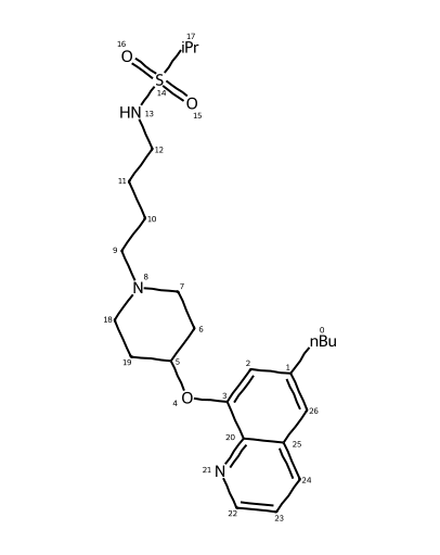 CCCCc1cc(OC2CCN(CCCCNS(=O)(=O)C(C)C)CC2)c2ncccc2c1